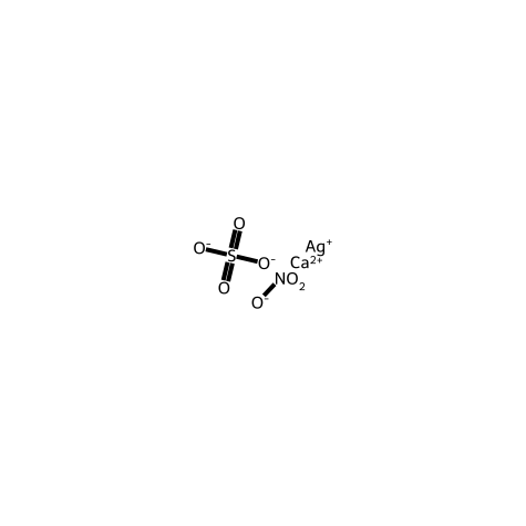 O=S(=O)([O-])[O-].O=[N+]([O-])[O-].[Ag+].[Ca+2]